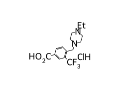 CCN1CCN(Cc2ccc(C(=O)O)cc2C(F)(F)F)CC1.Cl